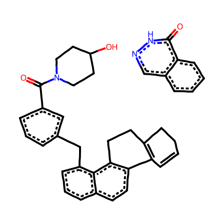 O=C(c1cccc(Cc2cccc3ccc4c(c23)CCC2=C4C=CCC2)c1)N1CCC(O)CC1.O=c1[nH]ncc2ccccc12